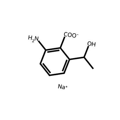 CC(O)c1cccc(N)c1C(=O)[O-].[Na+]